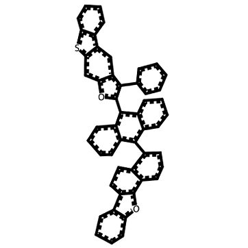 c1ccc(-c2c(-c3c4ccccc4c(-c4cccc5c4ccc4c6ccccc6oc54)c4ccccc34)oc3cc4sc5ccccc5c4cc23)cc1